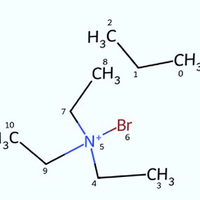 CCC.CC[N+](Br)(CC)CC